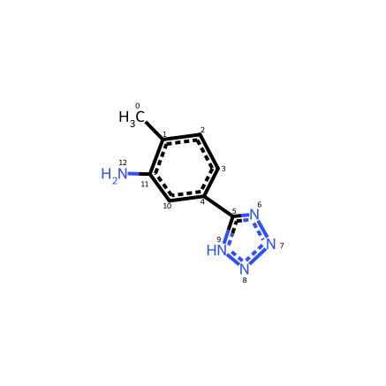 Cc1ccc(-c2nnn[nH]2)cc1N